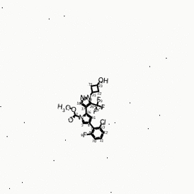 COC(=O)n1cc(-c2c(F)cccc2Cl)cc1-c1cnn(C2CC(O)C2)c1C(F)(F)F